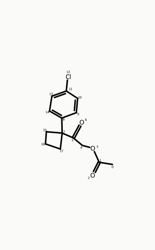 CC(=O)OCC(=O)C1(c2ccc(Cl)cc2)CCC1